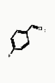 C=Cc1c[c]c(F)cc1